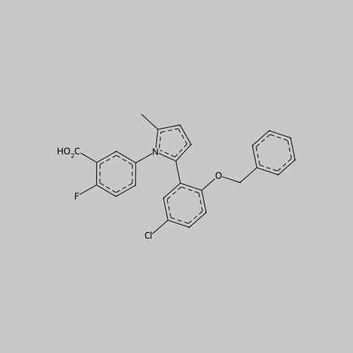 Cc1ccc(-c2cc(Cl)ccc2OCc2ccccc2)n1-c1ccc(F)c(C(=O)O)c1